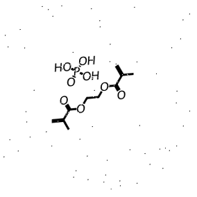 C=C(C)C(=O)OCCOC(=O)C(=C)C.O=P(O)(O)O